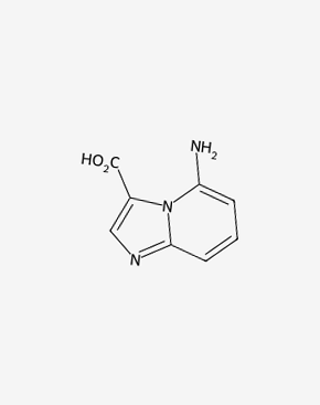 Nc1cccc2ncc(C(=O)O)n12